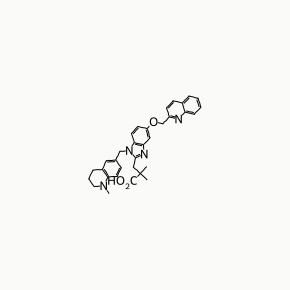 CN1CCCc2cc(Cn3c(CC(C)(C)C(=O)O)nc4cc(OCc5ccc6ccccc6n5)ccc43)ccc21